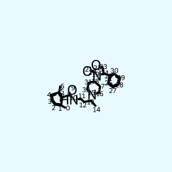 Cc1cccc(C)c1C(=O)NCCC(C)N1CCC(N2C(=O)OCC2c2ccccc2)CC1